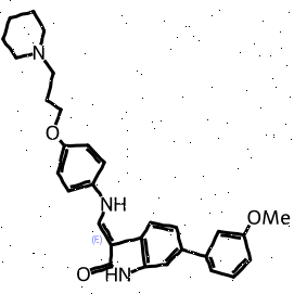 COc1cccc(-c2ccc3c(c2)NC(=O)/C3=C/Nc2ccc(OCCCN3CCCCC3)cc2)c1